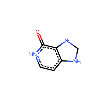 O=c1[nH]ccc2c1[N]CN2